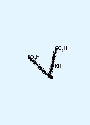 O=S(=O)(O)CCCCOCCOCCOCCOCCOCCOCCOCCOCCOc1cc2ccccc2cc1OCCOCCOCCOCCOCCOCCOCCOCCOCCCCS(=O)(=O)O.[KH]